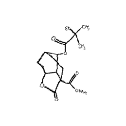 CCC(C)(C)C(=O)OC1C2CC3OC(=O)C(C(=O)OC)(C2)C31